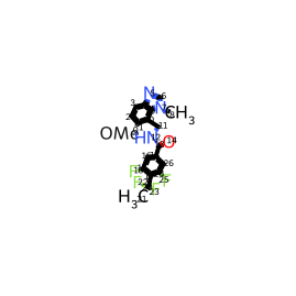 COc1ccc2ncn(C)c2c1CNC(=O)c1cc(F)c(C(C)(F)F)c(F)c1